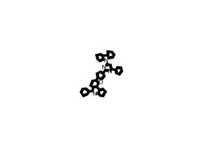 c1ccc(-c2cc(-n3c4ccccc4c4ccccc43)nc(-c3ccc4c(c3)oc3c4ccc4c(-c5ccccc5)nc5ccccc5c43)n2)cc1